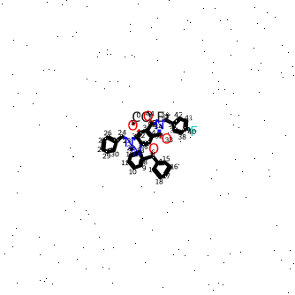 CCOC(=O)Oc1c2c(c(OC(c3ccccc3)c3ccccc3)c3ncn(Cc4ccccc4)c13)C(=O)N(Cc1ccc(F)cc1)C2=O